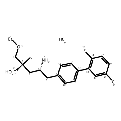 CCOC[C@](C)(C[C@H](N)Cc1ccc(-c2cc(Cl)ccc2F)cc1)C(=O)O.Cl